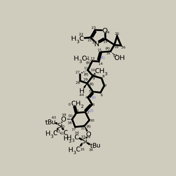 C=C1/C(=C\C=C2/CCC[C@]3(C)[C@@H]([C@H](C)/C=C/[C@@H](O)C4(c5nc(C)co5)CC4)CC[C@@H]23)C[C@@H](O[Si](C)(C)C(C)(C)C)C[C@@H]1O[Si](C)(C)C(C)(C)C